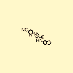 N#Cc1ccc(N2CCN(C(=O)Nc3ccc4c(c3)CCC4)CC2)nc1